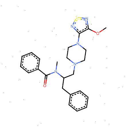 COc1nsnc1N1CCN(CC(Cc2ccccc2)N(C)C(=O)c2ccccc2)CC1